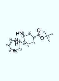 CC(C)(C)OC(=O)C1CCC(C2=CN=CC=CN2)C(=N)C1